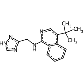 CC(C)(C)c1cnc(NCc2nc[nH]n2)c2ccccc12